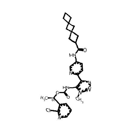 C[C@@H](OC(=O)Nc1c(-c2ccc(NC(=O)C3CC4(C3)CC3(CCC3)C4)cn2)nnn1C)c1cccnc1Cl